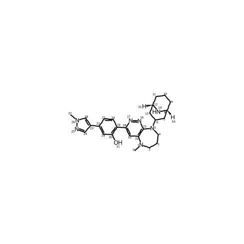 CN1CCCN(C2C[C@H]3CCC[C@@H](C2)N3)c2nnc(-c3ccc(-c4cnn(C)c4)cc3O)cc21